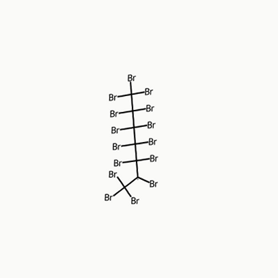 Br[C](C(Br)(Br)Br)C(Br)(Br)C(Br)(Br)C(Br)(Br)C(Br)(Br)C(Br)(Br)Br